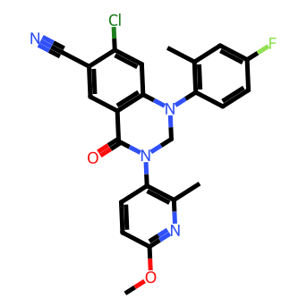 COc1ccc(N2CN(c3ccc(F)cc3C)c3cc(Cl)c(C#N)cc3C2=O)c(C)n1